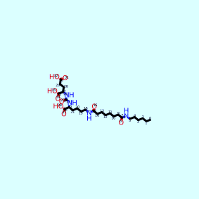 CCCCCCNC(=O)CCCCCCC(=O)NCCCCC(NC(=O)NC(CCC(=O)O)C(=O)O)C(=O)O